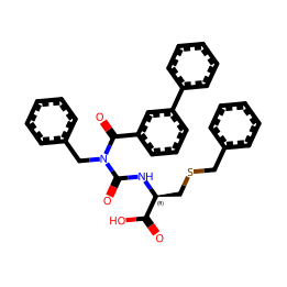 O=C(O)[C@H](CSCc1ccccc1)NC(=O)N(Cc1ccccc1)C(=O)c1cccc(-c2ccccc2)c1